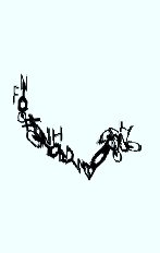 CC1(C)[C@H](NC(=O)c2ccc(N3CCC(CN4Cc5cc6c(cc5C4)C(=O)N(C4CCC(=O)NC4=O)C6=O)CC3)cc2)C(C)(C)[C@H]1Oc1ccc(C#N)c(F)c1